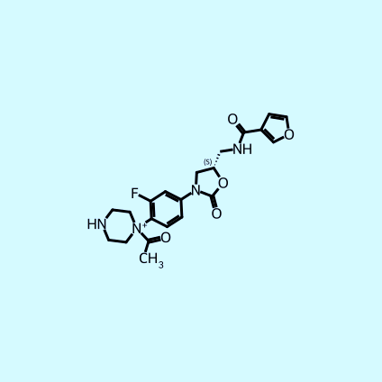 CC(=O)[N+]1(c2ccc(N3C[C@H](CNC(=O)c4ccoc4)OC3=O)cc2F)CCNCC1